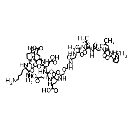 CSC[C@H](NC(=O)CNC(=O)[C@H](CC(C)C)NC(=O)[C@@H]1CCCN1C)C(=O)N[C@@H](C)C(=O)NCC(=O)NCCOCC(=O)N[C@H](CCC(=O)O)C(=O)N[C@H](CCC(=O)O)C(=O)N[C@H](CCC(=O)O)C(=O)N[C@H](CCC(=O)O)C(=O)N[C@H](CCC(=O)O)C(=O)N[C@H](CCCCN)C(N)=O